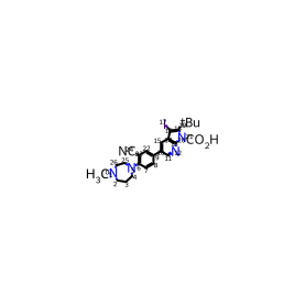 CN1CCCN(c2ccc(-c3cnc4c(c3)c(I)c(C(C)(C)C)n4C(=O)O)cc2C#N)CC1